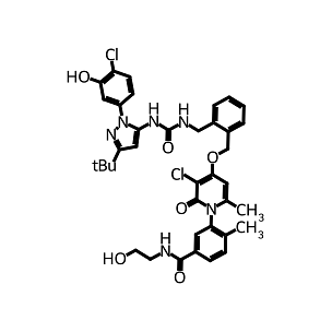 Cc1ccc(C(=O)NCCO)cc1-n1c(C)cc(OCc2ccccc2CNC(=O)Nc2cc(C(C)(C)C)nn2-c2ccc(Cl)c(O)c2)c(Cl)c1=O